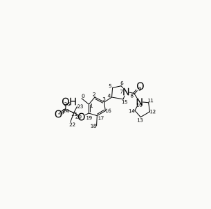 Cc1cc(C2CCN(C(=O)N3CCCC3)C2)cc(C)c1OC(C)(C)C(=O)O